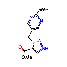 COC(=O)c1c[nH]nc1Cc1cnc(SC)nc1